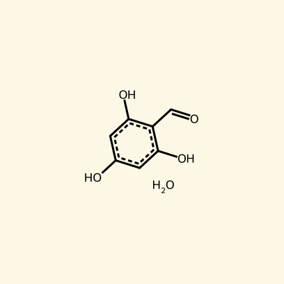 O.O=Cc1c(O)cc(O)cc1O